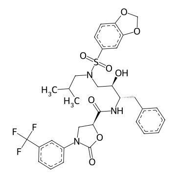 CC(C)CN(C[C@@H](O)[C@H](Cc1ccccc1)NC(=O)[C@@H]1CN(c2cccc(C(F)(F)F)c2)C(=O)O1)S(=O)(=O)c1ccc2c(c1)OCO2